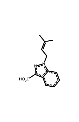 CC(C)=CCn1nc(C(=O)O)c2ccccc21